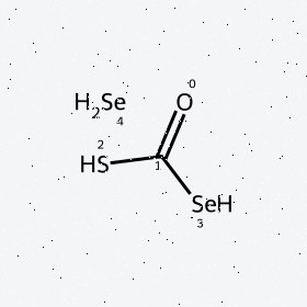 O=C(S)[SeH].[SeH2]